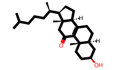 CC(C)CCC[C@@H](C)[C@H]1CC[C@H]2C3=C(C(=O)C[C@]12C)[C@@]1(C)CC[C@H](O)C[C@@H]1CC3